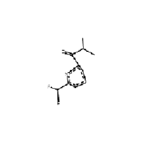 CC(C)C(=O)c1cccc(C(F)F)n1